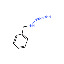 N=[N+]=NNCc1ccccc1